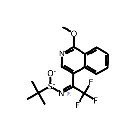 COc1ncc(/C(=N\[S+]([O-])C(C)(C)C)C(F)(F)F)c2ccccc12